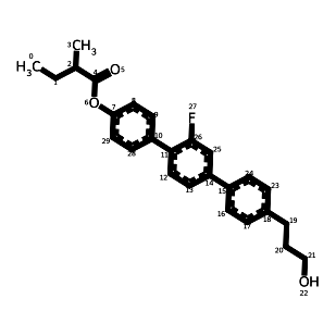 CCC(C)C(=O)Oc1ccc(-c2ccc(-c3ccc(CCCO)cc3)cc2F)cc1